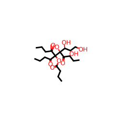 CCCC(=O)OC(C(=O)CCC)(C(=O)CCC)[C@@](O)(C(=O)CCC)[C@@H](O)[C@H](O)CO